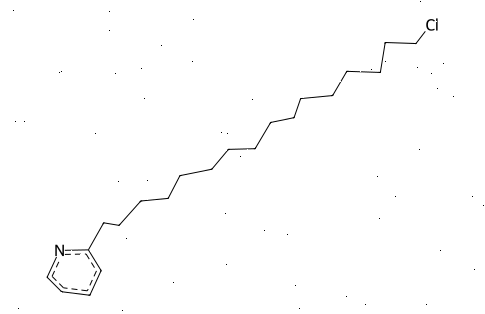 ClCCCCCCCCCCCCCCCCc1ccccn1